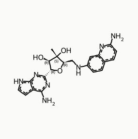 C[C@]1(O)[C@H](O)[C@@H](c2nc(N)c3cc[nH]c3n2)O[C@@H]1CNc1ccc2ccc(N)nc2c1